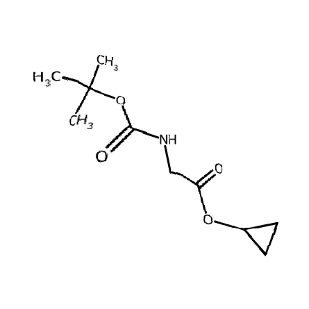 CC(C)(C)OC(=O)NCC(=O)OC1CC1